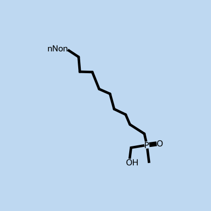 CCCCCCCCCCCCCCCCCCP(C)(=O)CO